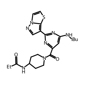 CCC(=O)NC1CCN(C(=O)c2cc(NC(C)CC)nc(-c3cnn4ccsc34)n2)CC1